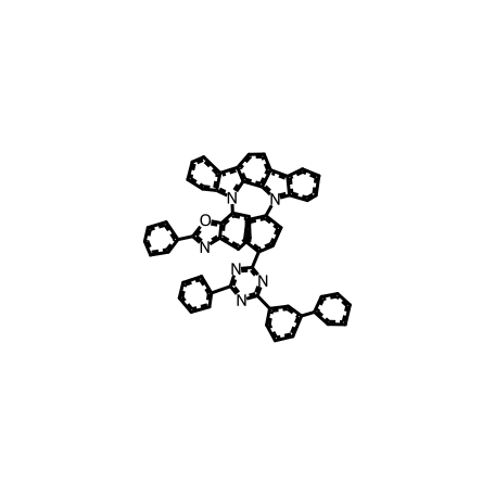 c1ccc(-c2cccc(-c3nc(-c4ccccc4)nc(-c4ccc(-n5c6ccccc6c6ccc7c8ccccc8n(-c8cccc9nc(-c%10ccccc%10)oc89)c7c65)cc4)n3)c2)cc1